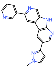 Cn1ccc(-c2cnc3[nH]c4cnc(-c5cccnc5)cc4c3c2)n1